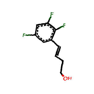 OCCC=Cc1cc(F)cc(F)c1F